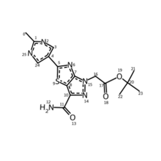 Cc1ncc(-c2nc3c(s2)c(C(N)=O)nn3CC(=O)OC(C)(C)C)cn1